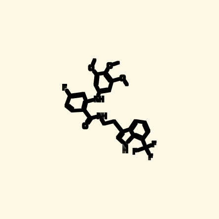 COc1cc(Nc2cc(F)ccc2C(=O)NCCc2c[nH]c3c(C(F)(F)F)cccc23)cc(OC)c1OC